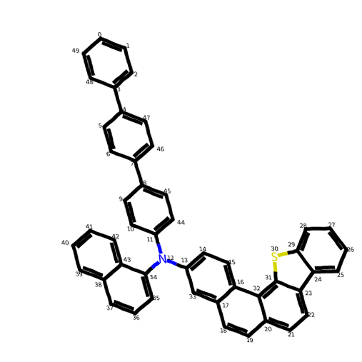 c1ccc(-c2ccc(-c3ccc(N(c4ccc5c(ccc6ccc7c8ccccc8sc7c65)c4)c4cccc5ccccc45)cc3)cc2)cc1